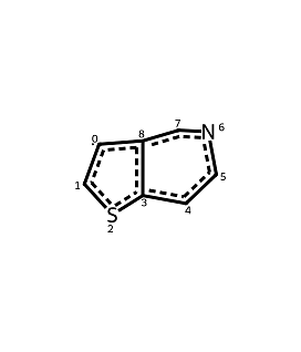 [c]1csc2ccncc12